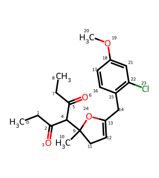 CCC(=O)C(C(=O)CC)C1(C)CC=C(Cc2ccc(OC)cc2Cl)O1